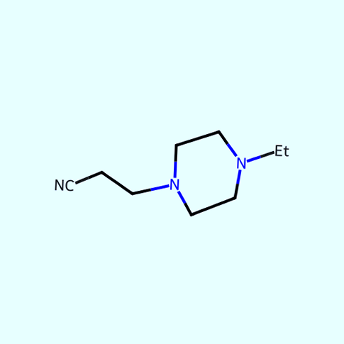 CCN1CCN(CCC#N)CC1